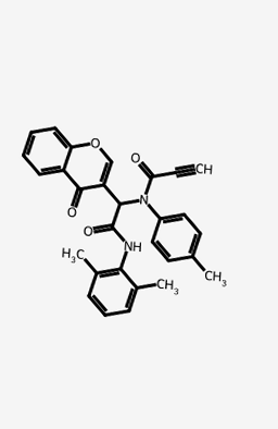 C#CC(=O)N(c1ccc(C)cc1)C(C(=O)Nc1c(C)cccc1C)c1coc2ccccc2c1=O